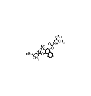 CCCCC(C)CNC(=O)Oc1cc(OCC)c(OC(=O)NCC(C)CCCC)c2ccccc12